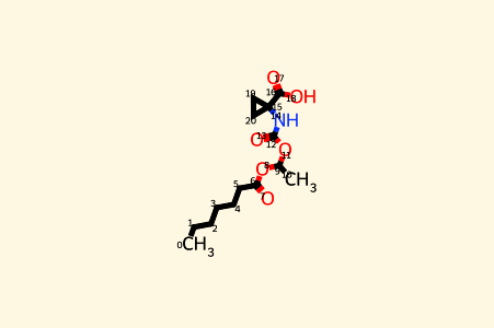 CCCCCCC(=O)OC(C)OC(=O)NC1(C(=O)O)CC1